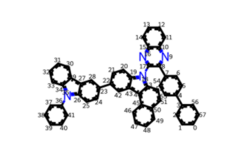 c1ccc(-c2ccc(-c3nc4ccccc4nc3-n3c4ccc(-c5ccc6c(c5)c5ccccc5n6-c5ccccc5)cc4c4c5ccccc5ccc43)cc2)cc1